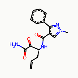 C=CC[C@H](NC(=O)c1cn(C)nc1-c1ccccc1)C(=O)C(N)=O